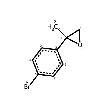 C[C@]1(c2ccc(Br)cc2)CO1